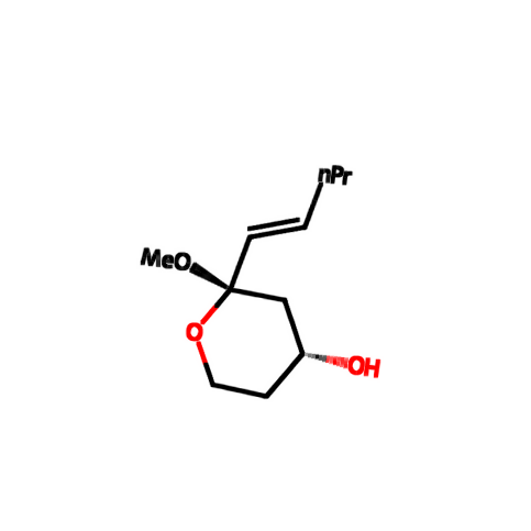 CCCC=C[C@]1(OC)C[C@H](O)CCO1